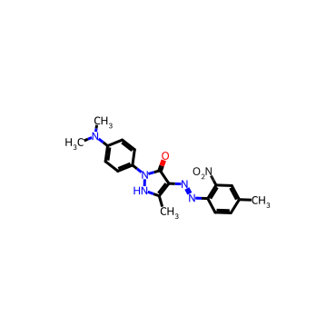 Cc1ccc(N=Nc2c(C)[nH]n(-c3ccc(N(C)C)cc3)c2=O)c([N+](=O)[O-])c1